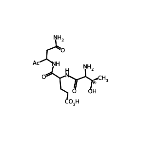 CC(=O)C(CC(N)=O)NC(=O)C(CCC(=O)O)NC(=O)C(N)[C@@H](C)O